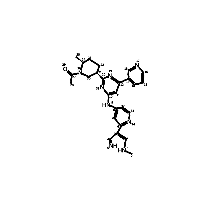 CN/C=C(\C=N)c1cc(Nc2cc(-c3cccnc3)nc([C@@H]3CC[C@H](C)N(C(C)=O)C3)n2)ccn1